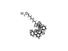 CCCCCCCCCC(=O)NS(=O)(=O)c1ccccc1NC(=O)c1cccc(C2CCCCC2)c1OC